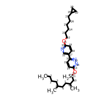 CCCCC(C)CCC(C)C[SiH2]Oc1ccc(-c2ccc(OCCCCCCC3CC3)nc2)nn1